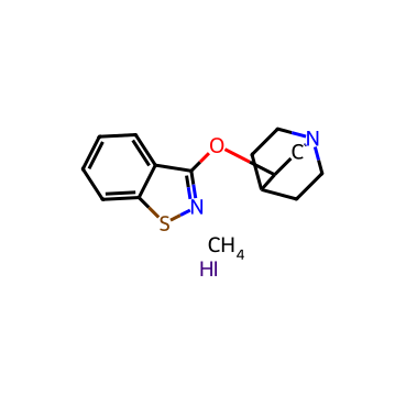 C.I.c1ccc2c(OC3CN4CCC3CC4)nsc2c1